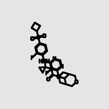 CC1(OC(=O)N2CC3COCC(C2)C3Oc2ncnc(Nc3ccc(S(=O)(=O)C4CCC4)cc3F)c2F)CC1